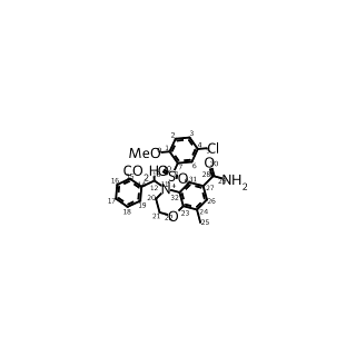 COc1ccc(Cl)cc1S(=O)(=O)[N+]1(C(C(=O)O)c2ccccc2)CCOc2c(C)cc(C(N)=O)cc21